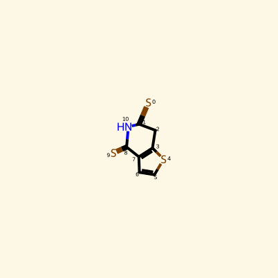 S=C1Cc2sccc2C(=S)N1